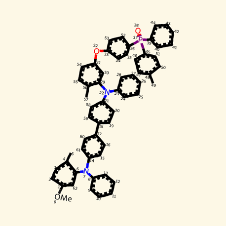 COc1ccc(C)c(N(c2ccccc2)c2ccc(-c3ccc(N(c4ccccc4)c4cc(Oc5ccc(P(=O)(c6ccccc6)c6ccc(C)cc6)cc5)ccc4C)cc3)cc2)c1